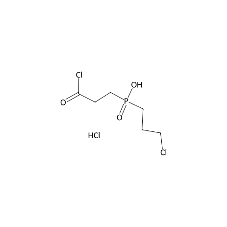 Cl.O=C(Cl)CCP(=O)(O)CCCCl